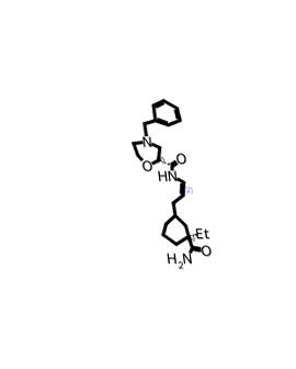 CC[C@]1(C(N)=O)CCCC(C/C=C\NC(=O)[C@H]2CN(Cc3ccccc3)CCO2)C1